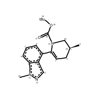 C[C@H]1CC=C(c2cccc3c2cnn3C)N(C(=O)OC(C)(C)C)C1